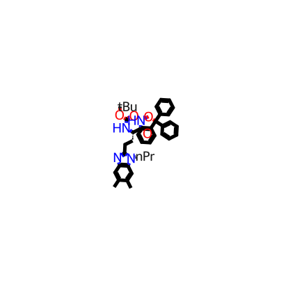 CCCn1c(CC[C@H](NC(=O)OC(C)(C)C)C(=O)NOC(c2ccccc2)(c2ccccc2)c2ccccc2)nc2cc(C)c(C)cc21